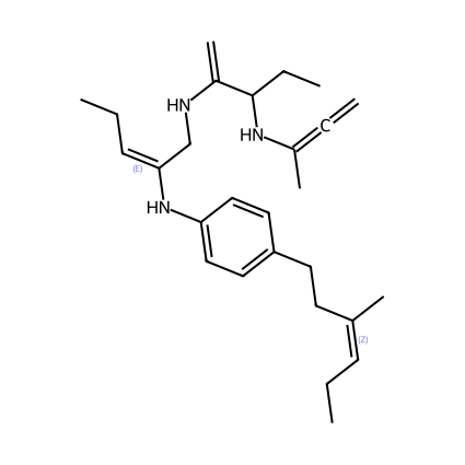 C=C=C(C)NC(CC)C(=C)NC/C(=C\CC)Nc1ccc(CC/C(C)=C\CC)cc1